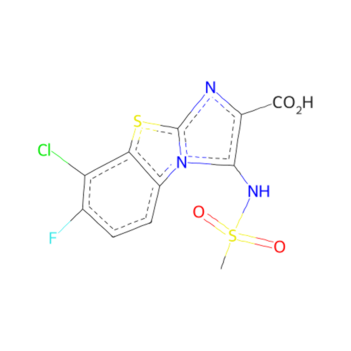 CS(=O)(=O)Nc1c(C(=O)O)nc2sc3c(Cl)c(F)ccc3n12